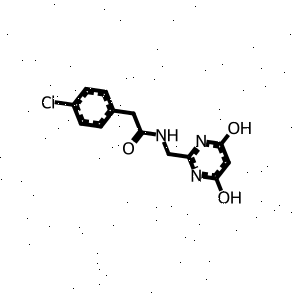 O=C(Cc1ccc(Cl)cc1)NCc1nc(O)cc(O)n1